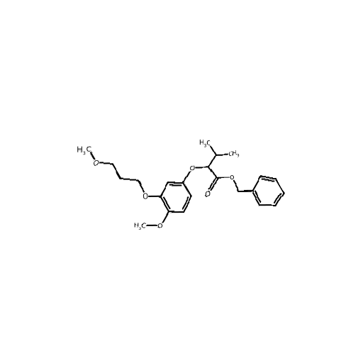 COCCCOc1cc(OC(C(=O)OCc2ccccc2)C(C)C)ccc1OC